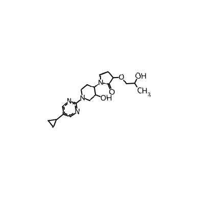 CC(O)COC1CCN(C2CCN(c3ncc(C4CC4)cn3)CC2O)C1=O